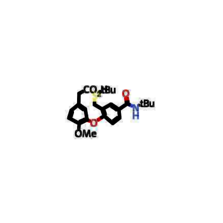 COc1ccc(CC(=O)O)cc1Oc1ccc(C(=O)NC(C)(C)C)cc1CSC(C)(C)C